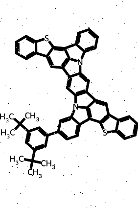 CC(C)(C)c1cc(-c2ccc3c4c5sc6ccccc6c5cc5c6cc7c(cc6n(c3c2)c54)c2cc3c4ccccc4sc3c3c4ccccc4n7c23)cc(C(C)(C)C)c1